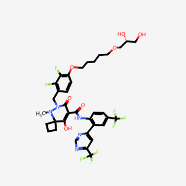 CN1N(Cc2ccc(OCCCCCOC[C@H](O)CO)c(F)c2F)C(=O)C(C(=O)Nc2ccc(C(F)(F)F)cc2-c2cc(C(F)(F)F)ncn2)=C(O)C12CCC2